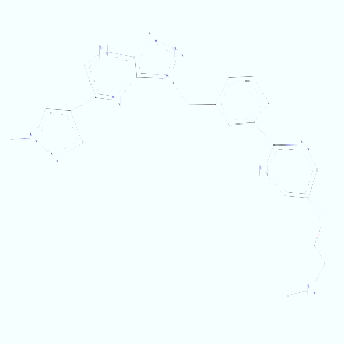 CN(C)CCOc1cnc(-c2cccc(Cn3nnc4ncc(-c5cnn(C)c5)nc43)c2)nc1